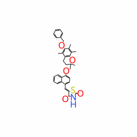 Cc1c(C)c2c(c(C)c1OCc1ccccc1)CCC(C)(COc1ccc(C=C3SC(=O)NC3=O)c3ccccc13)O2